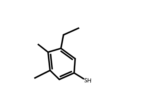 CCc1cc(S)cc(C)c1C